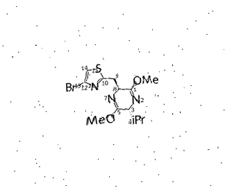 COC1=N[C@H](C(C)C)C(OC)=N[C@H]1Cc1nc(Br)cs1